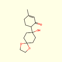 CC1=CC(=O)C(C2(O)CCC3(CC2)OCCO3)CC1